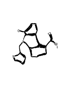 NC(=O)c1cccc2c1c1[c]ccc(Cl)c1n2Cc1cccs1